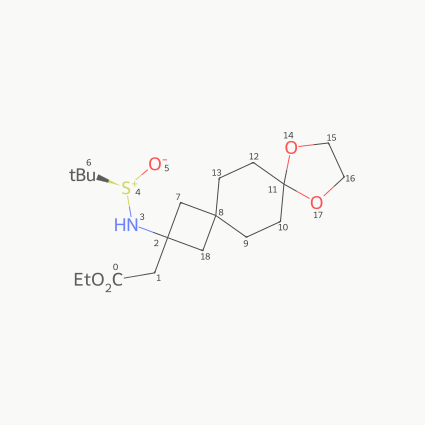 CCOC(=O)CC1(N[S@+]([O-])C(C)(C)C)CC2(CCC3(CC2)OCCO3)C1